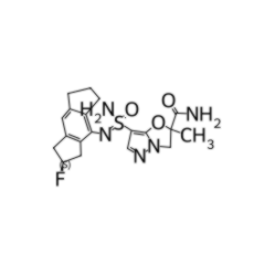 CC1(C(N)=O)Cn2ncc(S(N)(=O)=Nc3c4c(cc5c3C[C@@H](F)C5)CCC4)c2O1